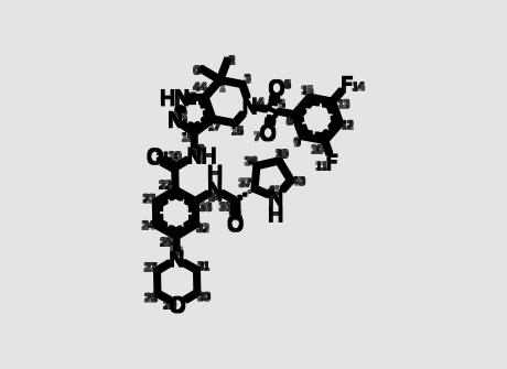 CC1(C)CN(S(=O)(=O)c2cc(F)cc(F)c2)Cc2c(NC(=O)c3ccc(N4CCOCC4)cc3NC(=O)[C@@H]3CCCN3)n[nH]c21